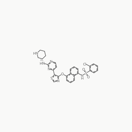 O=S(=O)(Nc1cccc2c(Oc3ncsc3-c3ccnc(N[C@H]4CCCNC4)n3)cccc12)c1ccccc1Cl